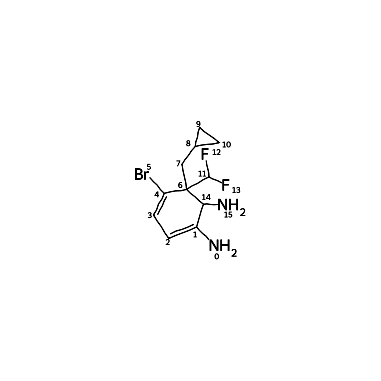 NC1=CC=C(Br)C(CC2CC2)(C(F)F)C1N